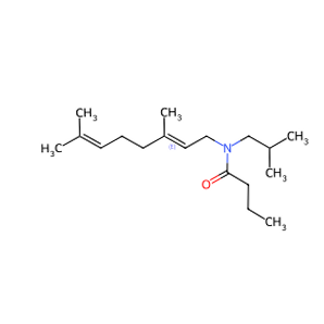 CCCC(=O)N(C/C=C(\C)CCC=C(C)C)CC(C)C